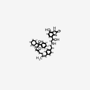 CN(CCc1cnc(C(O)(c2ccccc2)C2CCCCC2)o1)Cc1ccc(CCNC[C@H](O)c2ccc(O)c3[nH]c(=O)sc23)cc1